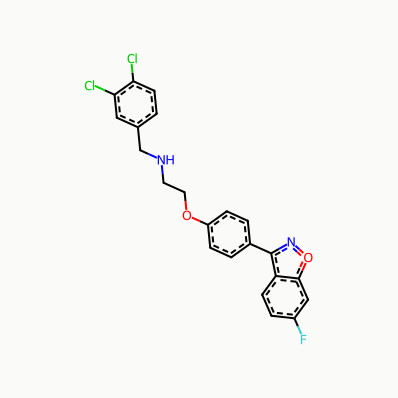 Fc1ccc2c(-c3ccc(OCCNCc4ccc(Cl)c(Cl)c4)cc3)noc2c1